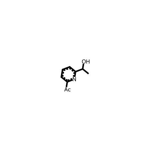 CC(=O)c1cccc(C(C)O)n1